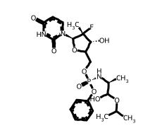 CC(C)OC(O)[C@H](C)N[P@](=O)(OCC1O[C@@H](n2ccc(=O)[nH]c2=O)[C@](C)(F)[C@@H]1O)Oc1ccccc1